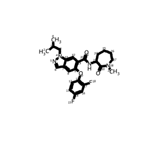 CC(C)Cn1ncc2cc(Oc3ccc(F)cc3F)c(C(=O)NC3CCCCN(C)C3=O)cc21